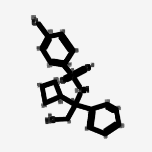 O=S(=O)(NC(CO)(c1ccccc1)C1CCC1)c1ccc(Cl)cc1